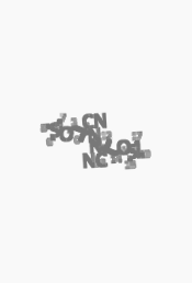 CC(C#N)(CO[Si](C)(C)C)N=NC(C)(C#N)CO[Si](C)(C)C